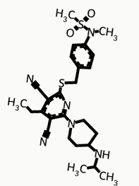 CCc1c(C#N)c(SCc2ccc(N(C)S(C)(=O)=O)cc2)nc(N2CCC(NC(C)C)CC2)c1C#N